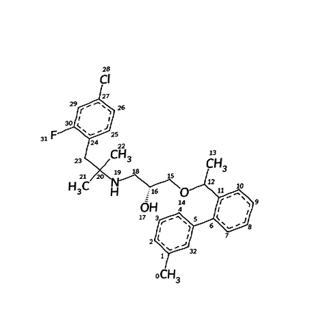 Cc1cccc(-c2ccccc2C(C)OC[C@H](O)CNC(C)(C)Cc2ccc(Cl)cc2F)c1